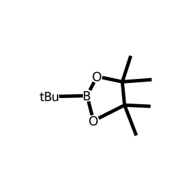 CC(C)(C)B1OC(C)(C)C(C)(C)O1